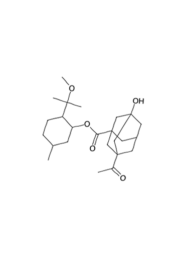 COC(C)(C)C1CCC(C)CC1OC(=O)C12CC3CC(O)(CC(C(C)=O)(C3)C1)C2